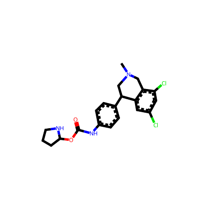 CN1Cc2c(Cl)cc(Cl)cc2C(c2ccc(NC(=O)OC3CCCN3)cc2)C1